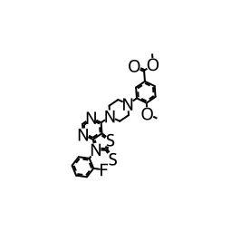 COC(=O)c1ccc(OC)c(N2CCN(c3ncnc4c3sc(=S)n4-c3ccccc3F)CC2)c1